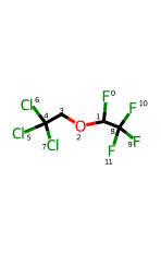 FC(OCC(Cl)(Cl)Cl)C(F)(F)F